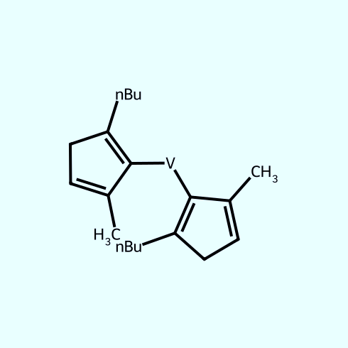 CCCCC1=[C]([V][C]2=C(CCCC)CC=C2C)C(C)=CC1